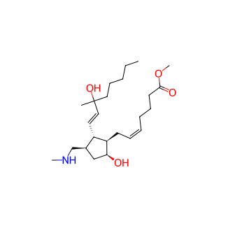 CCCCCC(C)(O)/C=C/[C@H]1[C@H](CNC)C[C@H](O)[C@@H]1C/C=C\CCCC(=O)OC